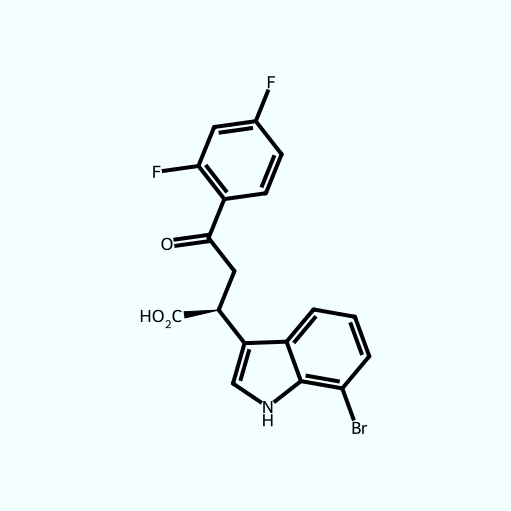 O=C(C[C@H](C(=O)O)c1c[nH]c2c(Br)cccc12)c1ccc(F)cc1F